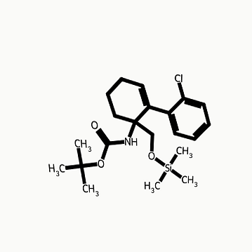 CC(C)(C)OC(=O)NC1(CO[Si](C)(C)C)CCCC=C1c1ccccc1Cl